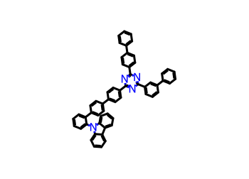 c1ccc(-c2ccc(-c3nc(-c4ccc(-c5ccc(-c6ccccc6-n6c7ccccc7c7ccccc76)cc5)cc4)nc(-c4cccc(-c5ccccc5)c4)n3)cc2)cc1